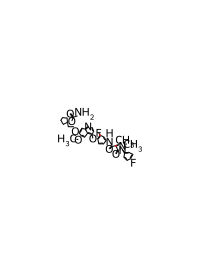 COc1cc2c(Oc3ccc(NC(=O)c4c(C)n(C)n(-c5ccc(F)cc5)c4=O)cc3F)ccnc2cc1OCCC1(OC(=O)CN)CCCC1